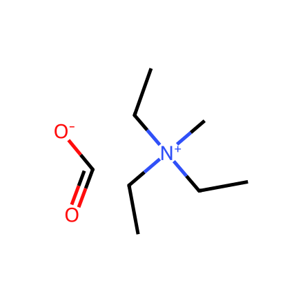 CC[N+](C)(CC)CC.O=C[O-]